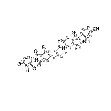 CCc1cc2c(cc1N1CCN(Cc3cc(F)c4c(c3)C(=O)N(C3CCC(=O)NC3=O)C4=O)CC1)C(C)(C)c1[nH]c3cc(C#N)ccc3c1C2=O